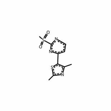 Cc1nc(C)c(-c2ccnc(S(C)(=O)=O)n2)s1